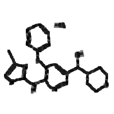 Cc1csc(Nc2ncc(C(O)C3CCOCC3)cc2Sc2ccccc2)n1.Cl